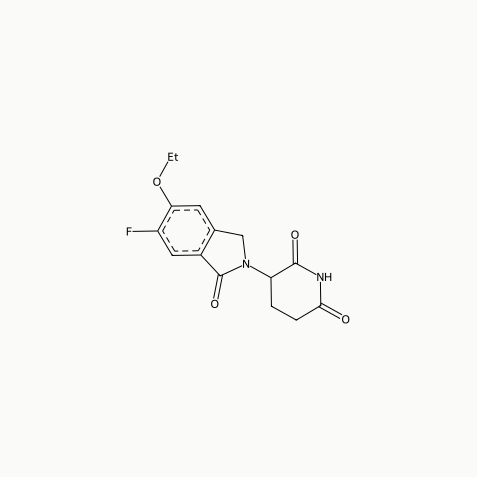 CCOc1cc2c(cc1F)C(=O)N(C1CCC(=O)NC1=O)C2